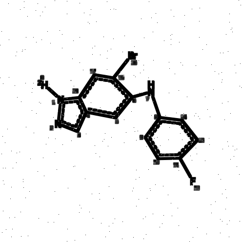 [2H]n1ncc2cc(Nc3ccc(F)cc3)c(Br)cc21